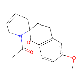 COc1ccc2c(c1)CCC1(CC=CCN1C(C)=O)C2=O